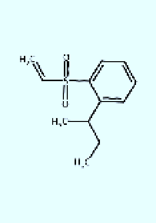 C=CS(=O)(=O)c1ccccc1C(C)CC